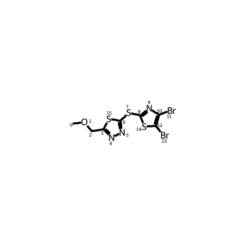 COCc1nnc(Sc2nc(Br)c(Br)s2)s1